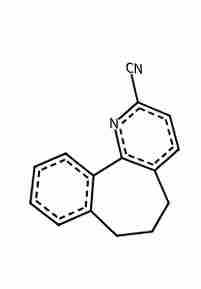 N#Cc1ccc2c(n1)-c1ccccc1CCC2